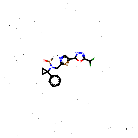 CC[S+]([O-])N(Cc1ncc(C2NN=C(C(F)F)O2)s1)C1(c2ccccc2)CC1